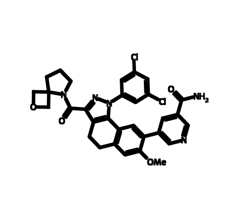 COc1cc2c(cc1-c1cncc(C(N)=O)c1)-c1c(c(C(=O)N3CCCC34COC4)nn1-c1cc(Cl)cc(Cl)c1)CC2